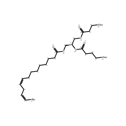 CCCC/C=C\C/C=C\CCCCCCCC(=O)OC[C@@H](COC(=O)CCCCCCCCCCCC)OC(=O)CCCCCCCCCCCCC